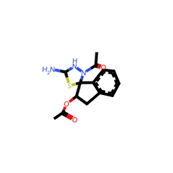 CC(=O)OC1Cc2ccccc2C12SC(N)NN2C(C)=O